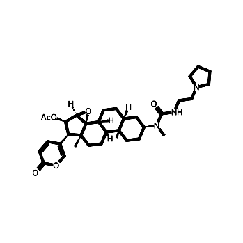 CC(=O)O[C@H]1[C@H]2O[C@]23[C@@H]2CC[C@@H]4C[C@@H](N(C)C(=O)NCCN5CCCC5)CC[C@]4(C)[C@H]2CC[C@]3(C)[C@H]1c1ccc(=O)oc1